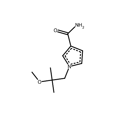 COC(C)(C)Cn1ccc(C(N)=O)c1